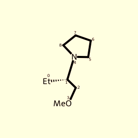 CC[C@@H](COC)N1CCCC1